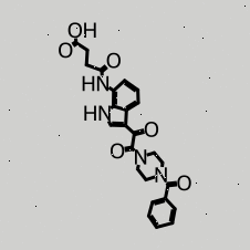 O=C(O)CCC(=O)Nc1cccc2c(C(=O)C(=O)N3CCN(C(=O)c4ccccc4)CC3)c[nH]c12